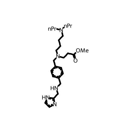 CCCN(CCC)CCCCN(CCC(=O)OC)Cc1ccc(CNCc2ncc[nH]2)cc1